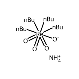 CCC[CH2][Re](=[O])(=[O])(=[O])([O-])([CH2]CCC)([CH2]CCC)[CH2]CCC.[NH4+]